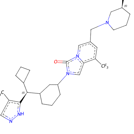 Cc1cn[nH]c1[C@@H](C1CCC1)C1CCCC(n2cc3c(C(F)(F)F)cc(CN4CCC[C@H](C)C4)cn3c2=O)C1